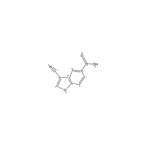 N#Cc1coc2ccc(C(=O)O)cc12